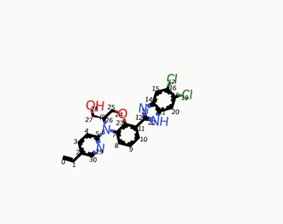 C=Cc1ccc(N2c3cccc(-c4nc5cc(Cl)c(Cl)cc5[nH]4)c3OC[C@@H]2CO)nc1